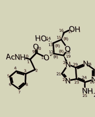 CC(=O)NC(Cc1ccccc1)C(=O)O[C@@H]1[C@H](O)[C@@H](CO)O[C@H]1n1cnc2c(N)ncnc21